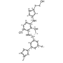 Cn1cc(-c2cc(F)cc([C@@H](CO)Nc3nc(Nc4cnn(CCO)c4)ncc3Cl)c2)cn1